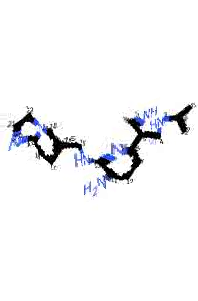 CC(C)N/C=C(\C=N)c1ccc(N)c(NCc2ccc3nccn3c2)n1